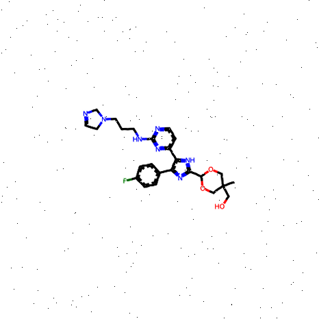 CC1(CO)COC(c2nc(-c3ccc(F)cc3)c(-c3ccnc(NCCCN4CC=NC4)n3)[nH]2)OC1